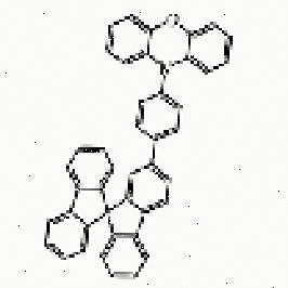 c1ccc2c(c1)Oc1ccccc1N2c1ccc(-c2ccc3c(c2)C2(c4ccccc4-c4ccccc42)c2ccccc2-3)cc1